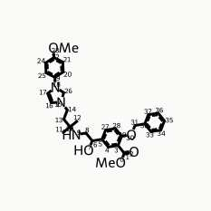 COC(=O)c1cc(C(O)CNC(C)(C)CCN2C=CN(c3ccc(OC)cc3)C2)ccc1OCc1ccccc1